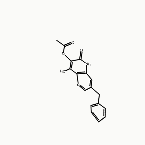 CC(=O)Oc1c(O)c2ncc(Cc3ccccc3)cc2[nH]c1=O